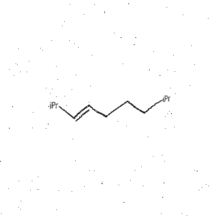 [CH2]C(C)CCCC=CC(C)C